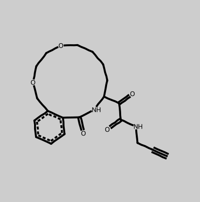 C#CCNC(=O)C(=O)C1CCCCOCCOCc2ccccc2C(=O)N1